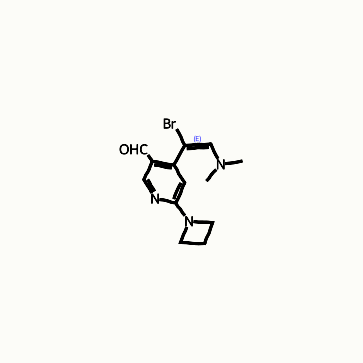 CN(C)/C=C(/Br)c1cc(N2CCC2)ncc1C=O